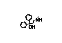 CNCCC(O)(c1ccccc1)c1ccccc1